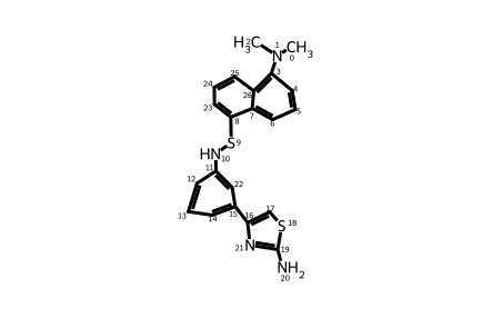 CN(C)c1cccc2c(SNc3cccc(-c4csc(N)n4)c3)cccc12